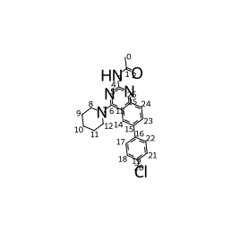 CC(=O)Nc1nc(N2CCCCC2)c2cc(-c3ccc(Cl)cc3)ccc2n1